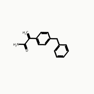 C=C(C(N)=O)c1ccc(Cc2ccccc2)cc1